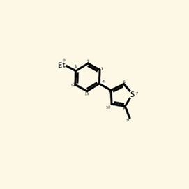 CCc1ccc(-c2csc(C)c2)cc1